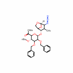 CCCCO[C@@H]1C(C(=O)OC)O[C@@H](O[C@@H]2C3CO[C@H](O3)C(N=[N+]=[N-])C2OC(C)=O)C(OCc2ccccc2)C1OCc1ccccc1